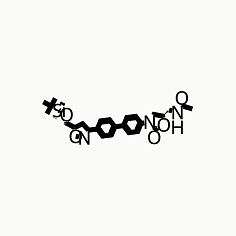 CC(=O)NC[C@H]1CN(c2ccc(-c3ccc(C4=NOC(CO[Si](C)(C)C(C)(C)C)C4)cc3)cc2)C(=O)O1